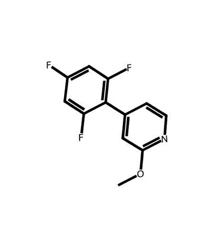 COc1cc(-c2c(F)cc(F)cc2F)ccn1